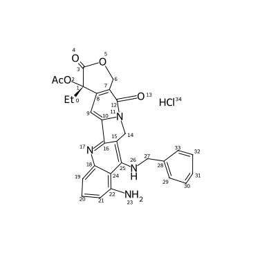 CC[C@@]1(OC(C)=O)C(=O)OCc2c1cc1n(c2=O)Cc2c-1nc1cccc(N)c1c2NCc1ccccc1.Cl